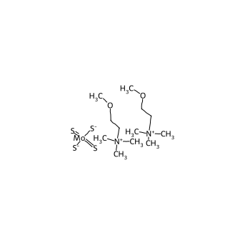 COCC[N+](C)(C)C.COCC[N+](C)(C)C.[S]=[Mo](=[S])([S-])[S-]